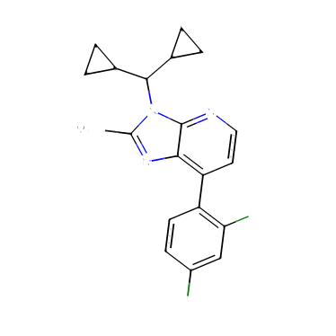 COc1nc2c(-c3ccc(Cl)cc3Cl)ccnc2n1C(C1CC1)C1CC1